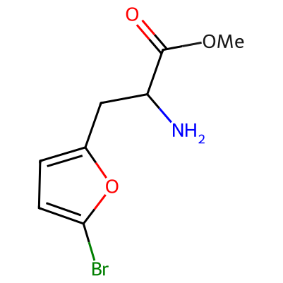 COC(=O)C(N)Cc1ccc(Br)o1